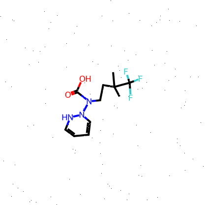 CC(C)(CCN(C(=O)O)N1C=CC=CN1)C(F)(F)F